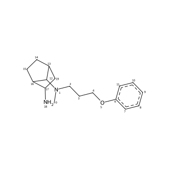 CN(CCCOc1ccccc1)C1C2CCC1C(N)C2